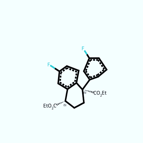 CCOC(=O)[C@H]1CC[C@](C(=O)OCC)(c2cccc(F)c2)c2ccc(F)cc21